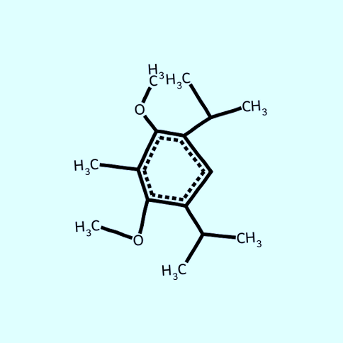 COc1c(C(C)C)cc(C(C)C)c(OC)c1C